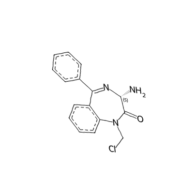 N[C@H]1N=C(c2ccccc2)c2ccccc2N(CCl)C1=O